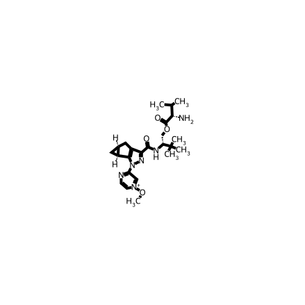 CO[n+]1ccnc(-n2nc(C(=O)N[C@H](COC(=O)[C@@H](N)C(C)C)C(C)(C)C)c3c2[C@H]2C[C@H]2C3)c1